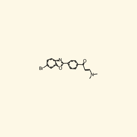 CN(C)C=CC(=O)c1ccc(-c2nc3ccc(Br)cc3o2)cc1